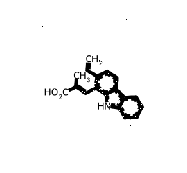 C=Cc1ccc2c([nH]c3ccccc32)c1C=C(C)C(=O)O